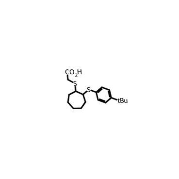 CC(C)(C)c1ccc(SC2CCCCCC2SCC(=O)O)cc1